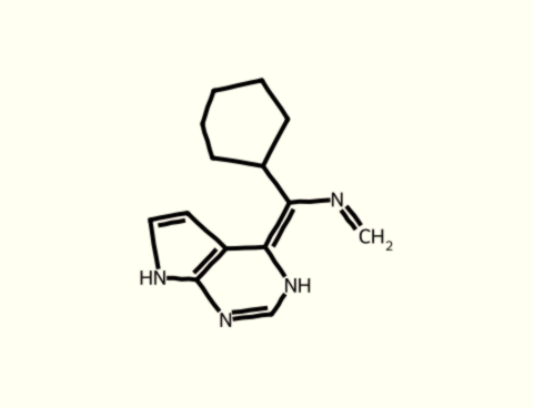 C=N/C(=C1\NC=Nc2[nH]ccc21)C1CCCCC1